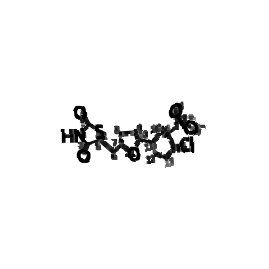 O=C1NC(=O)C(=Cc2ccc(-c3ccc(Cl)c([N+](=O)[O-])c3)o2)S1